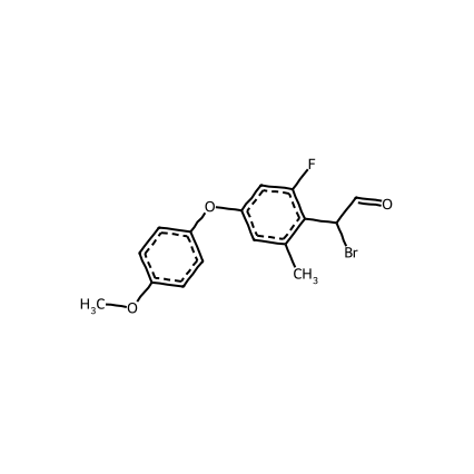 COc1ccc(Oc2cc(C)c(C(Br)C=O)c(F)c2)cc1